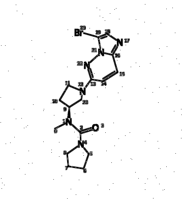 CN(C(=O)N1CCCC1)[C@H]1CCN(c2ccc3ncc(Br)n3n2)C1